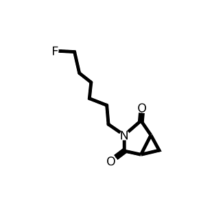 O=C1C2CC2C(=O)N1CCCCCCF